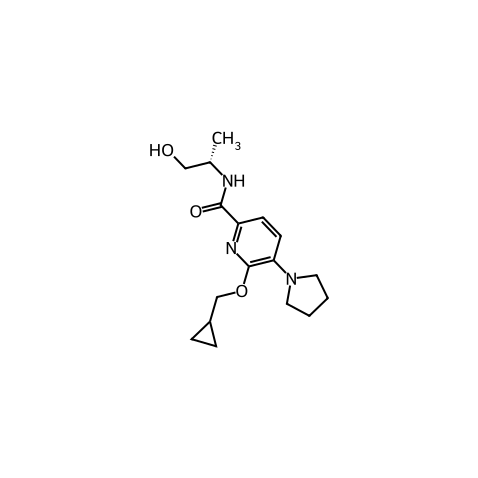 C[C@@H](CO)NC(=O)c1ccc(N2CCCC2)c(OCC2CC2)n1